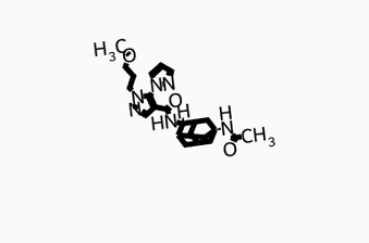 COCCCn1ncc(C(=O)N[C@H]2C3CC4CC2C[C@](NC(C)=O)(C4)C3)c1-n1cccn1